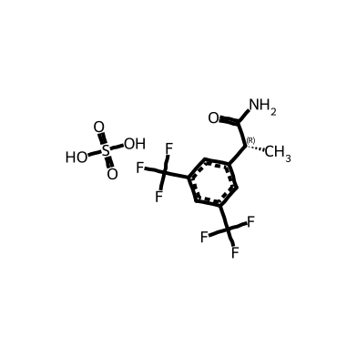 C[C@@H](C(N)=O)c1cc(C(F)(F)F)cc(C(F)(F)F)c1.O=S(=O)(O)O